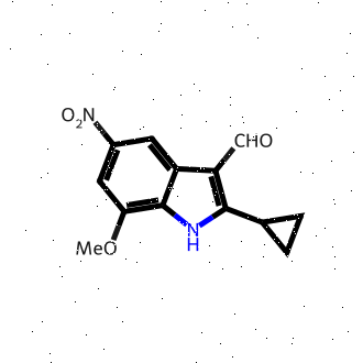 COc1cc([N+](=O)[O-])cc2c(C=O)c(C3CC3)[nH]c12